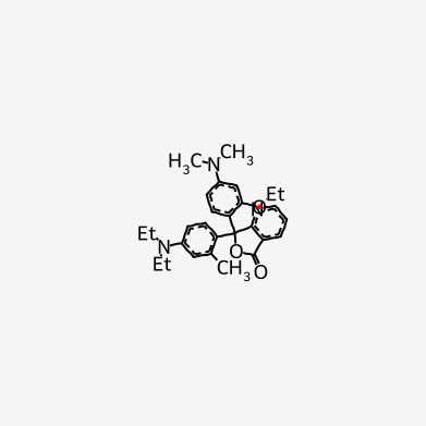 CCOc1cc(N(C)C)ccc1C1(c2ccc(N(CC)CC)cc2C)OC(=O)c2cccnc21